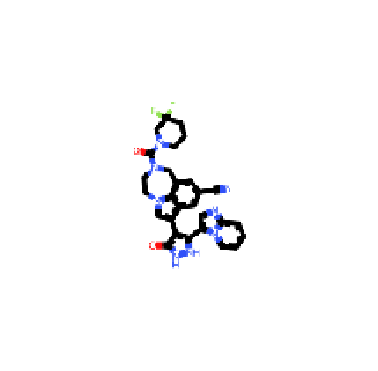 N#Cc1cc2c3c(c1)c(-c1c(-c4cnc5ccccn45)[nH][nH]c1=O)cn3CCN(C(=O)N1CCCC(F)(F)C1)C2